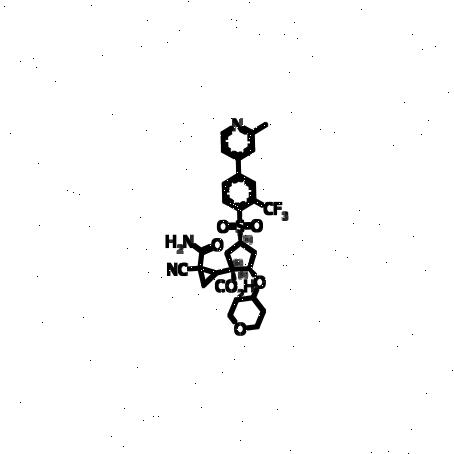 Cc1cc(-c2ccc(S(=O)(=O)[C@H]3C[C@@H](OC4CCOCC4)[C@](C(=O)O)(C4CC4(C#N)C(N)=O)C3)c(C(F)(F)F)c2)ccn1